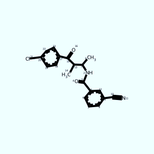 CC(NC(=O)c1cccc(C#N)c1)C(C)C(=O)c1ccc(Cl)cc1